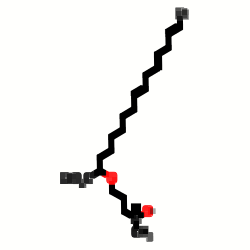 CCC=CCC=CCC=CCCCCCCC(OCCC[SiH](C)[O])C(=O)OCC